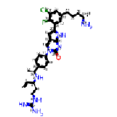 C=C[C@H](CCNC(=N)N)N[C@@H](C)c1ccc(-n2cc3cc(-c4cc(CCC[C@H](C)N)cc(Cl)c4F)[nH]c3nc2=O)cc1